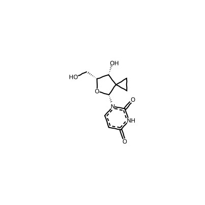 O=c1ccn([C@@H]2O[C@H](CO)[C@H](O)C23CC3)c(=O)[nH]1